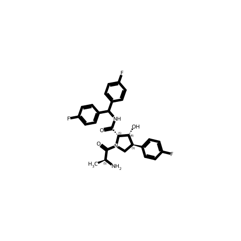 C[C@H](N)C(=O)N1C[C@H](c2ccc(F)cc2)[C@@H](O)[C@H]1C(=O)NC(c1ccc(F)cc1)c1ccc(F)cc1